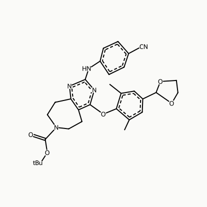 Cc1cc(C2OCCO2)cc(C)c1Oc1nc(Nc2ccc(C#N)cc2)nc2c1CCN(C(=O)OC(C)(C)C)CC2